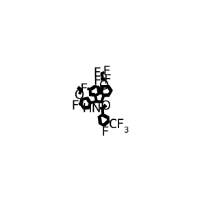 C=COc1cc(C(Cc2ccccc2)(NC(=O)c2ccc(F)c(C(F)(F)F)c2)c2cc(F)cc(OC(F)(F)C(F)F)c2)ccc1F